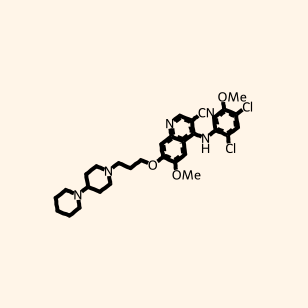 COc1cc(Nc2c(C#N)cnc3cc(OCCCN4CCC(N5CCCCC5)CC4)c(OC)cc23)c(Cl)cc1Cl